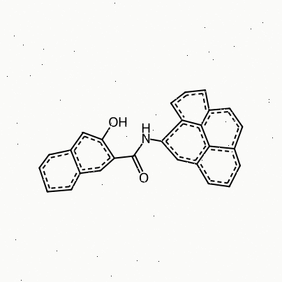 O=C(Nc1cc2cccc3ccc4cccc1c4c32)c1cc2ccccc2cc1O